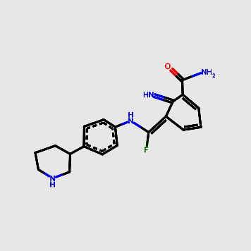 N=C1C(C(N)=O)=CC=C/C1=C(\F)Nc1ccc(C2CCCNC2)cc1